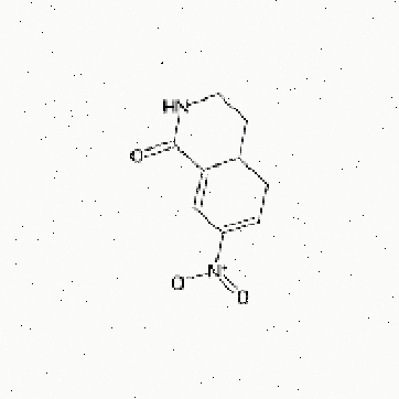 O=C1NCCC2CC=C([N+](=O)[O-])C=C12